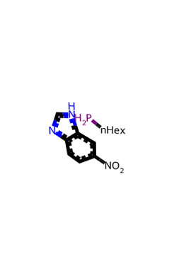 CCCCCCP.O=[N+]([O-])c1ccc2nc[nH]c2c1